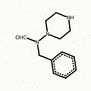 O=[C]N(Cc1ccccc1)N1CCNCC1